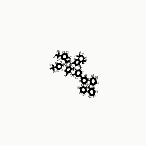 Cc1cc2c3c(c1)N(c1ccc(C(C)(C)C)cc1)c1c(sc4ccc(C(C)(C)C)cc14)B3c1cc3c(cc1N2c1c(C)cc(-c2ccc([Si](c4ccccc4)(c4ccccc4)c4ccccc4)cc2)cc1C)C(C)(C)CCC3(C)C